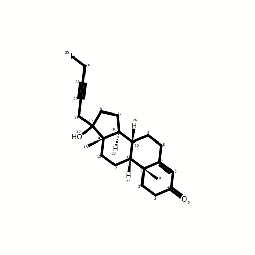 C[C@]12CCC(=O)C=C1CC[C@@H]1[C@H]2CC[C@@]2(C)[C@H]1CCC2(O)CC#CCI